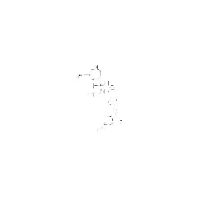 C[C@H]1CN(C(=O)[C@H]2C[C@H](Oc3ccc(F)cc3F)C2)[C@@H]2c3cncc(C#N)c3C21